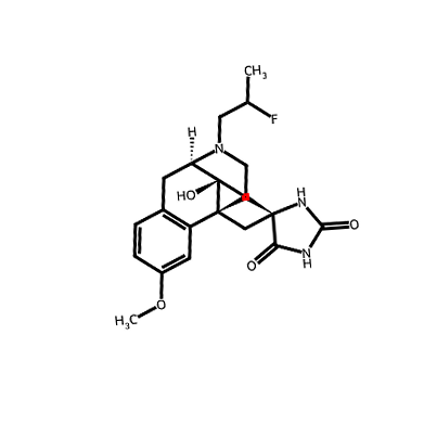 COc1ccc2c(c1)[C@]13CCN(CC(C)F)[C@H](C2)[C@]1(O)CC[C@@]1(C3)NC(=O)NC1=O